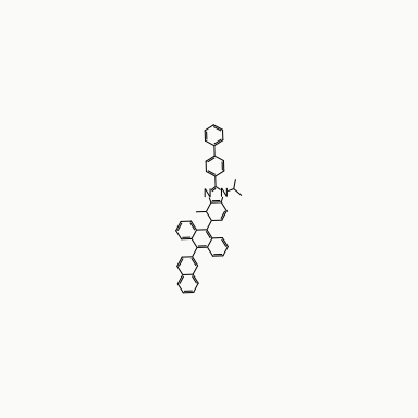 CC1c2nc(-c3ccc(-c4ccccc4)cc3)n(C(C)C)c2C=CC1c1c2ccccc2c(-c2ccc3ccccc3c2)c2ccccc12